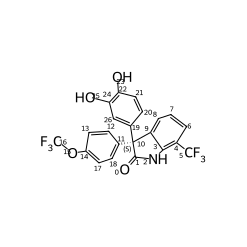 O=C1Nc2c(C(F)(F)F)cccc2[C@]1(c1ccc(OC(F)(F)F)cc1)c1ccc(O)c(O)c1